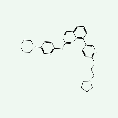 c1cc(-c2ccc(NCCN3CCCC3)nc2)c2nc(Nc3ccc(N4CCOCC4)cc3)ncc2c1